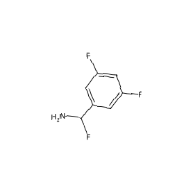 NC(F)c1cc(F)cc(F)c1